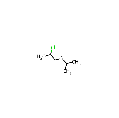 CC(Cl)C[Si]C(C)C